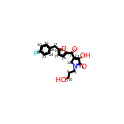 O=C(C1=C(O)C(=O)N(CCCO)C1)c1ccc(Cc2ccc(F)cc2)o1